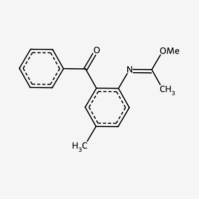 COC(C)=Nc1ccc(C)cc1C(=O)c1ccccc1